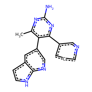 Cc1nc(N)nc(-c2cccnc2)c1-c1cnc2[nH]ccc2c1